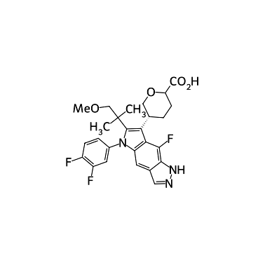 COCC(C)(C)c1c([C@H]2CCC(C(=O)O)OC2)c2c(F)c3[nH]ncc3cc2n1-c1ccc(F)c(F)c1